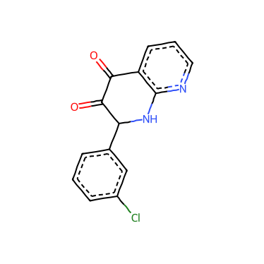 O=C1C(=O)C(c2cccc(Cl)c2)Nc2ncccc21